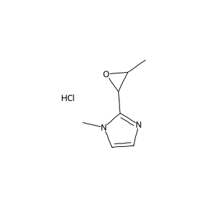 CC1OC1c1nccn1C.Cl